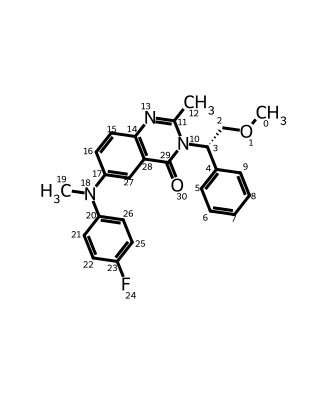 COC[C@H](c1ccccc1)n1c(C)nc2ccc(N(C)c3ccc(F)cc3)cc2c1=O